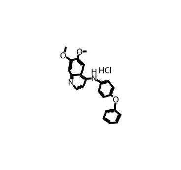 COc1cc2nccc(Nc3ccc(Oc4ccccc4)cc3)c2cc1OC.Cl